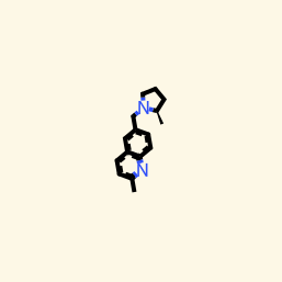 Cc1ccc2cc(CN3CCC[C@H]3C)ccc2n1